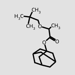 CC(OCC(C)(C)C)C(=O)OC12CC3CC(CC(C3)C1)C2